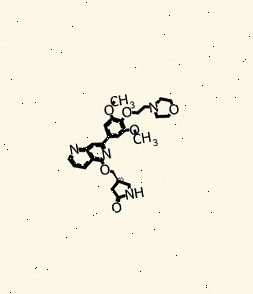 COc1cc(-c2cc3ncccc3c(OC[C@H]3CNC(=O)C3)n2)cc(OC)c1OCCN1CCOCC1